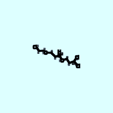 ClCCOCC[SiH2]OCCC(Cl)Cl